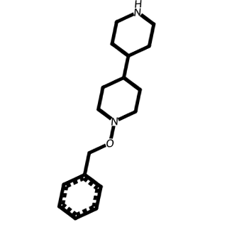 c1ccc(CON2CCC(C3CCNCC3)CC2)cc1